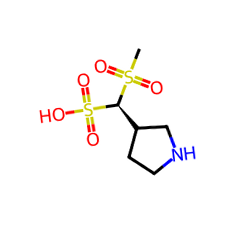 CS(=O)(=O)[C@@H](C1CCNC1)S(=O)(=O)O